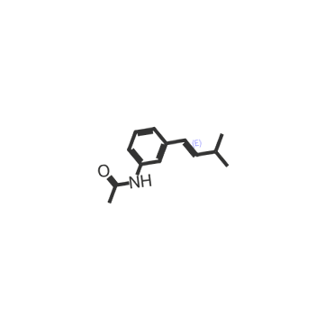 CC(=O)Nc1cccc(/C=C/C(C)C)c1